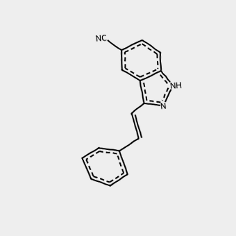 N#Cc1ccc2[nH]nc(C=Cc3ccccc3)c2c1